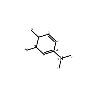 CC1C=CC(N(C)C)=CC1C